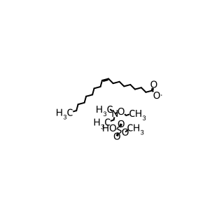 CCCCCCCC/C=C\CCCCCCCC([O])=O.CCON(C)CC.COS(=O)(=O)O